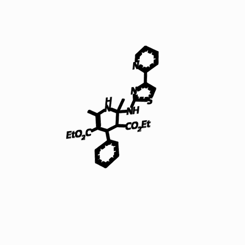 CCOC(=O)C1=C(C)NC(C)(Nc2nc(-c3ccccn3)cs2)C(C(=O)OCC)C1c1ccccc1